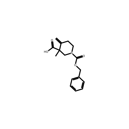 C=C1CCN(C(=O)OCc2ccccc2)CC1(C)C(=O)O